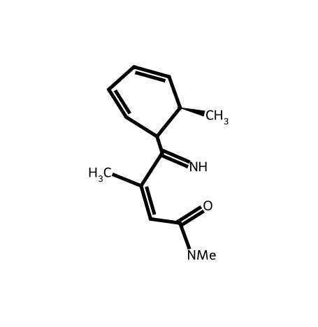 CNC(=O)/C=C(/C)C(=N)C1C=CC=C[C@H]1C